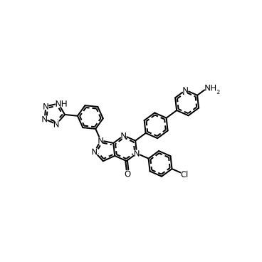 Nc1ccc(-c2ccc(-c3nc4c(cnn4-c4cccc(-c5nnn[nH]5)c4)c(=O)n3-c3ccc(Cl)cc3)cc2)cn1